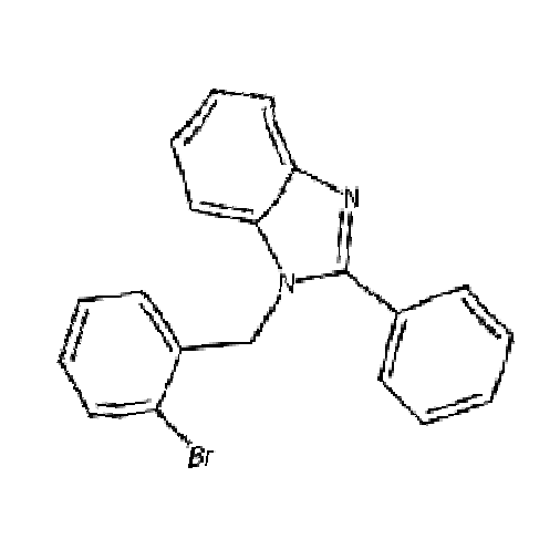 Brc1ccccc1Cn1c(-c2ccccc2)nc2ccccc21